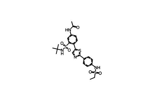 CCS(=O)(=O)Nc1ccc(-c2ncc(-c3ccc(NC(C)=O)cc3S(=O)(=O)NC(C)(C)C)s2)cc1